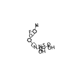 N#Cc1ccc(COc2cccc(C3=CCN(Cc4nc5sc(C(=O)O)cc5n4O)CC3)c2)c(F)c1